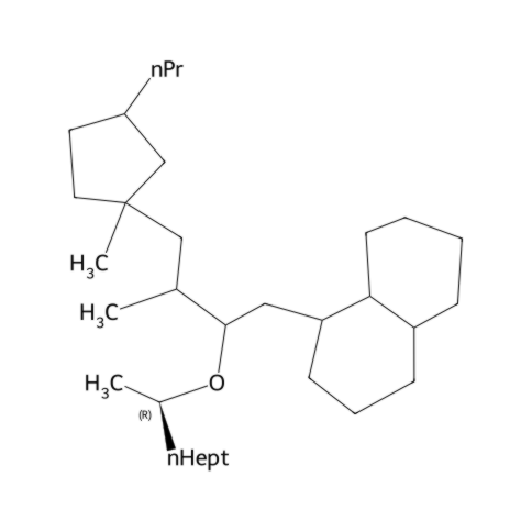 CCCCCCC[C@@H](C)OC(CC1CCCC2CCCCC21)C(C)CC1(C)CCC(CCC)C1